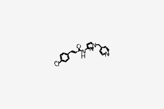 O=C(C=Cc1ccc(Cl)cc1)Nc1ccn(Cc2ccncc2)n1